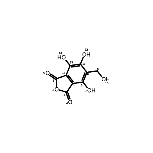 O=C1OC(=O)c2c(O)c(CO)c(O)c(O)c21